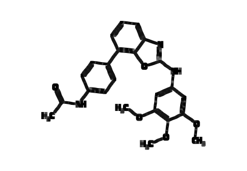 COc1cc(Nc2nc3cccc(-c4ccc(NC(C)=O)cc4)c3o2)cc(OC)c1OC